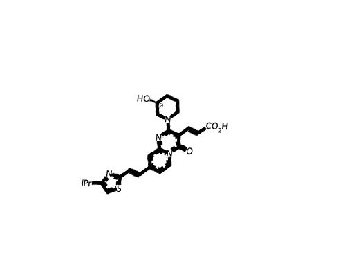 CC(C)c1csc(C=Cc2ccn3c(=O)c(C=CC(=O)O)c(N4CCC[C@H](O)C4)nc3c2)n1